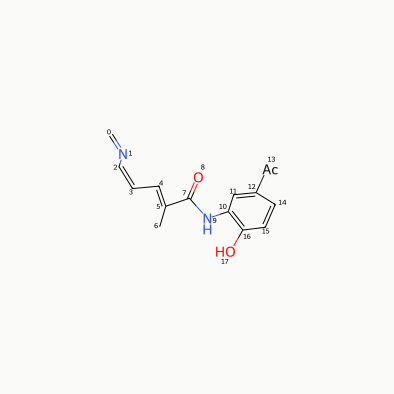 C=N/C=C\C=C(/C)C(=O)Nc1cc(C(C)=O)ccc1O